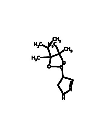 CC(C)C1(C)OB(C2C=NNC2)OC1(C)C